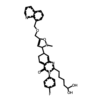 CN1OC(COCc2cccc3cccnc23)=CC1C1C=c2nc(CCCCC(O)O)n(-c3ccc(F)cc3)c(=O)c2=CC1